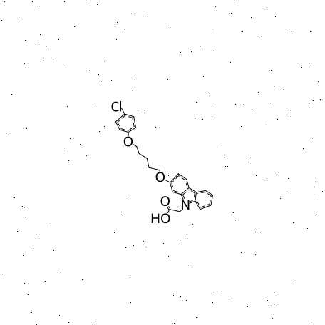 O=C(O)Cn1c2ccccc2c2ccc(OCCCCCOc3ccc(Cl)cc3)cc21